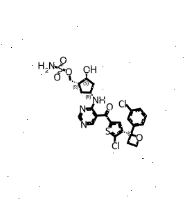 NS(=O)(=O)OC[C@H]1C[C@@H](Nc2ncncc2C(=O)c2cc([C@@]3(c4cccc(Cl)c4)CCO3)c(Cl)s2)C[C@@H]1O